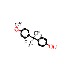 CCCOc1ccc(C(c2ccc(O)cc2)(C(F)(F)F)C(F)(F)F)cc1